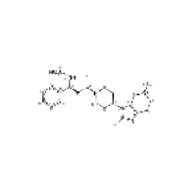 CC(=O)N1CCc2nc(C)n(C3CCN(C(C)C[C@H](NC(=O)O)c4ccccc4)CC3)c2C1